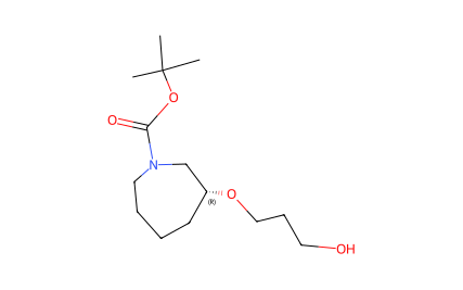 CC(C)(C)OC(=O)N1CCCC[C@@H](OCCCO)C1